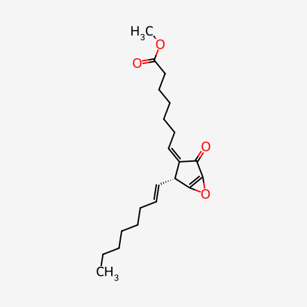 CCCCCC/C=C/[C@H]1C2=C(O2)C(=O)/C1=C\CCCCCC(=O)OC